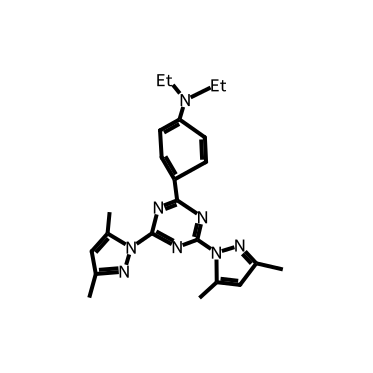 CCN(CC)c1ccc(-c2nc(-n3nc(C)cc3C)nc(-n3nc(C)cc3C)n2)cc1